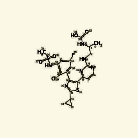 CC(CNc1nccc(-c2sc(C3CC3)nc2-c2cc(F)cc(NS(C)(=O)=O)c2Cl)n1)NC(=O)O